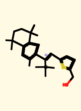 Cc1cc2c(cc1/C(=C/c1ccc(CO)s1)[Si](C)(C)C)C(C)(C)CCC2(C)C